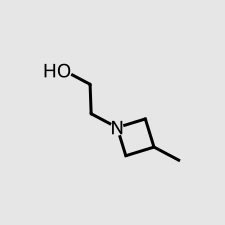 CC1CN(CCO)C1